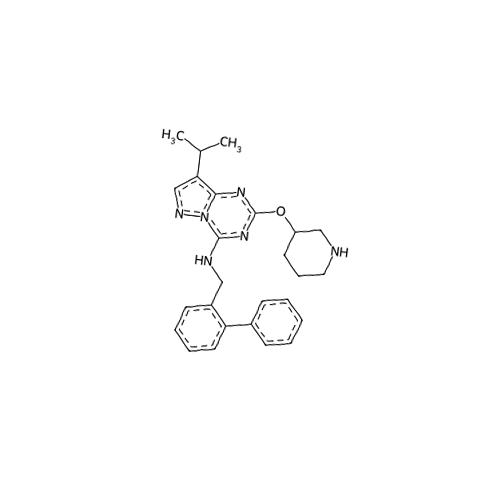 CC(C)c1cnn2c(NCc3ccccc3-c3ccccc3)nc(OC3CCCNC3)nc12